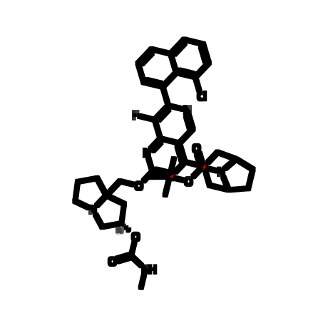 CNC(=O)O[C@@H]1CN2CCCC2(COc2nc(N3CC4CCC(C3)N4C(=O)OC(C)(C)C)c3cnc(-c4cccc5cccc(Cl)c45)c(F)c3n2)C1